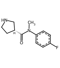 CN(C(=O)[C@@H]1CCNC1)c1ccc(F)cc1